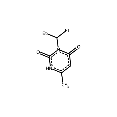 CCC(CC)n1c(=O)cc(C(F)(F)F)[nH]c1=O